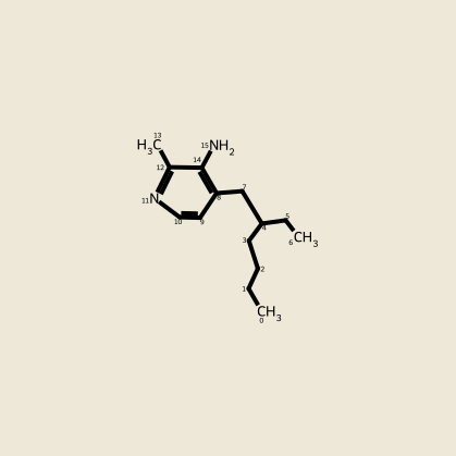 CCCCC(CC)Cc1ccnc(C)c1N